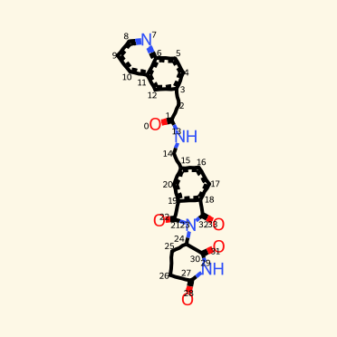 O=C(Cc1ccc2ncccc2c1)NCc1ccc2c(c1)C(=O)N(C1CCC(=O)NC1=O)C2=O